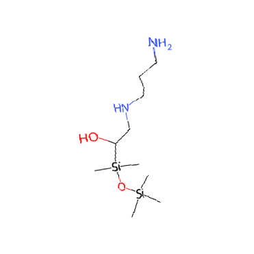 C[Si](C)(C)O[Si](C)(C)C(O)CNCCCN